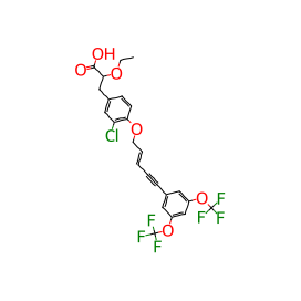 CCOC(Cc1ccc(OCC=CC#Cc2cc(OC(F)(F)F)cc(OC(F)(F)F)c2)c(Cl)c1)C(=O)O